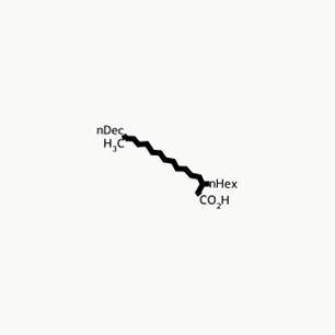 CCCCCCCCCCC(C)CCCCCCCCCCCC(CCCCCC)CC(=O)O